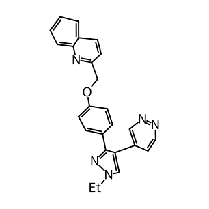 CCn1cc(-c2ccnnc2)c(-c2ccc(OCc3ccc4ccccc4n3)cc2)n1